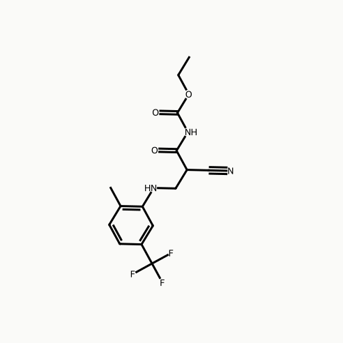 CCOC(=O)NC(=O)C(C#N)CNc1cc(C(F)(F)F)ccc1C